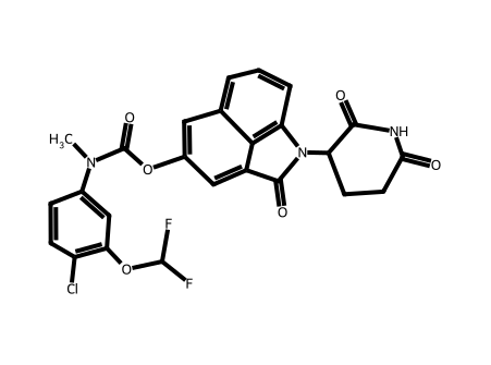 CN(C(=O)Oc1cc2c3c(cccc3c1)N(C1CCC(=O)NC1=O)C2=O)c1ccc(Cl)c(OC(F)F)c1